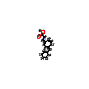 COC(=O)/C=C/C1=CC=C(CC2=CCCCC2)CC=C1